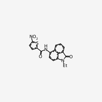 CCN1C(=O)c2cccc3c(NC(=O)c4ccc([N+](=O)[O-])s4)ccc1c23